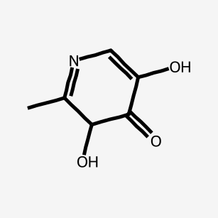 CC1=NC=C(O)C(=O)C1O